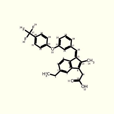 CCc1ccc2c(c1)C(CC(=O)O)=C(C)/C2=C/c1cccc(Oc2ccc(C(F)(F)F)cc2)c1